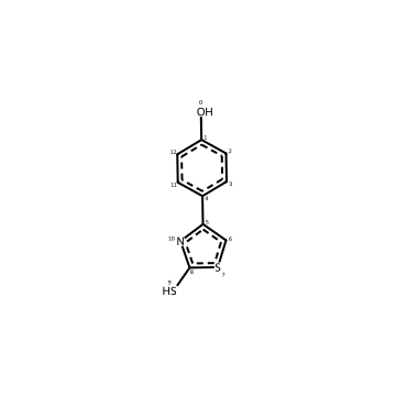 Oc1ccc(-c2csc(S)n2)cc1